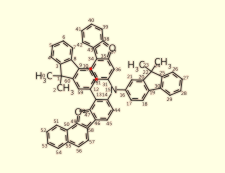 CC1(C)c2ccccc2-c2ccc(-c3c(N(c4ccc5c(c4)C(C)(C)c4ccccc4-5)c4ccc5c(c4)oc4ccccc45)ccc4c3oc3c5ccccc5ccc43)cc21